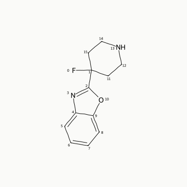 FC1(c2nc3ccccc3o2)CCNCC1